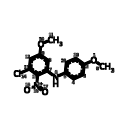 COc1ccc(Nc2cc(OC)cc(Cl)c2[N+](=O)[O-])cc1